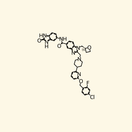 O=C(Nc1ccc2[nH]c(=O)[nH]c2c1)c1ccc2c(c1)nc(CN1CCC(c3cccc(OCc4ccc(Cl)cc4F)n3)CC1)n2C[C@@H]1CCO1